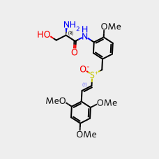 COc1cc(OC)c(/C=C/[S+]([O-])Cc2ccc(OC)c(NC(=O)[C@H](N)CO)c2)c(OC)c1